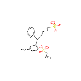 CCS(=O)(=O)Oc1ccc(C)cc1C(CCCCS(=O)(=O)O)c1ccccc1